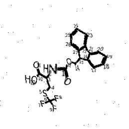 O=C(NC(CSC(F)(F)F)C(=O)O)OCC1c2ccccc2-c2ccccc21